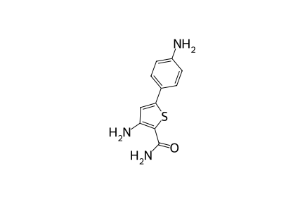 NC(=O)c1sc(-c2ccc(N)cc2)cc1N